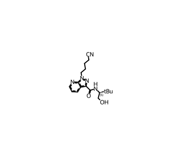 CC(C)(C)[C@@H](CO)NC(=O)c1nn(CCCCC#N)c2ncccc12